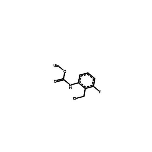 CC(C)(C)OC(=O)Nc1cccc(F)c1CCl